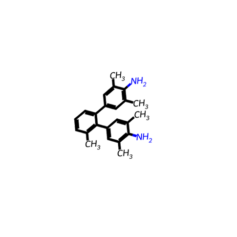 Cc1cc(-c2cccc(C)c2-c2cc(C)c(N)c(C)c2)cc(C)c1N